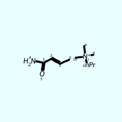 CC=CC(N)=O.CCC[N+](C)(C)C